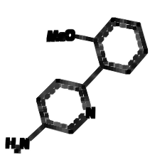 COc1ccccc1-c1ccc(N)cn1